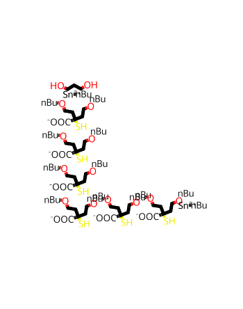 CCCCOCCC(S)(CCOCCCC)C(=O)[O-].CCCCOCCC(S)(CCOCCCC)C(=O)[O-].CCCCOCCC(S)(CCOCCCC)C(=O)[O-].CCCCOCCC(S)(CCOCCCC)C(=O)[O-].CCCCOCCC(S)(CCOCCCC)C(=O)[O-].CCCCOCCC(S)(CCOCCCC)C(=O)[O-].CCC[CH2][Sn+3].CCC[CH2][Sn+3].OCCCO